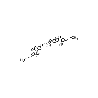 CCCCCc1ccc(-c2cc3ccc(OOCC(O)COOc4ccc5cc(-c6ccc(CCCCC)cc6C(F)(F)F)c(=O)oc5c4)cc3oc2=O)c(C(F)(F)F)c1